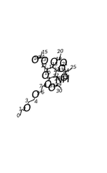 CCOCCOCCOC1OC(COC(C)=O)C(OC(C)=O)C(OC(C)=O)C1NC(C)=O